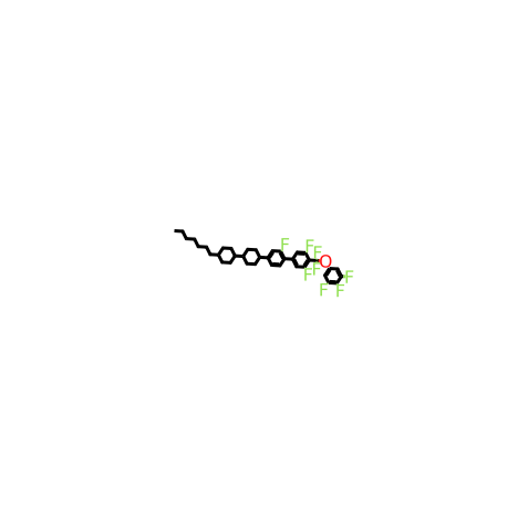 CCCCCCCC1CCC(C2CCC(c3ccc(-c4cc(F)c(C(F)(F)Oc5cc(F)c(F)c(F)c5)c(F)c4)c(F)c3)CC2)CC1